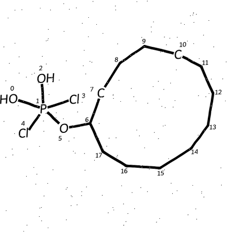 OP(O)(Cl)(Cl)OC1CCCCCCCCCCC1